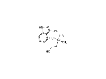 C[N+](C)(C)CCO.Oc1c[nH]c2ccccc12